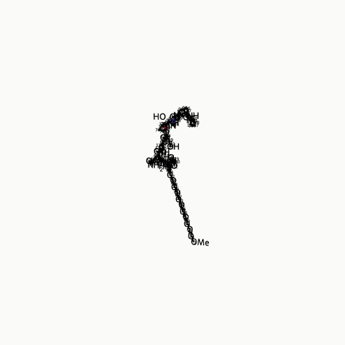 COCCOCCOCCOCCOCCOCCOCCOCCOCCOCCOCCOCCn1cc([C@@H](CC(=O)N[C@H](C(=O)N[C@@H](CCCNC(N)=O)C(=O)Nc2ccc(COC(=O)N(CCOC34CC(C)CC5(C)CC(CN/C(C)=C(\C=N)c6ccc(N7CCc8cccc(C(=O)Nc9nc%10ccccc%10s9)c8C7)nc6C(=O)O)(CC53)C4)CCSO)cc2)C(C)C)N2C(=O)C=CC2=O)[nH]1